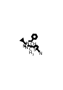 CC(C)(c1ccc(C#N)s1)c1nnc(C2CC2)n1CCc1ccccc1